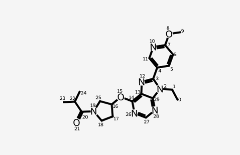 CCn1c(-c2ccc(OC)nc2)nc2c(OC3CCN(C(=O)C(C)C)C3)ncnc21